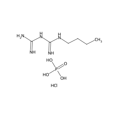 CCCCNC(=N)NC(=N)N.Cl.O=P(O)(O)O